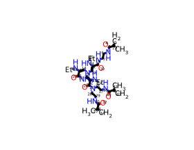 C=C(C)C(=O)NCCNC(=O)C(=CN(C=C(NCC)C(N)=O)C=C(NCC)C(=O)N(CCNC(=O)C(=C)C)CCNC(=O)C(=C)C)NCC